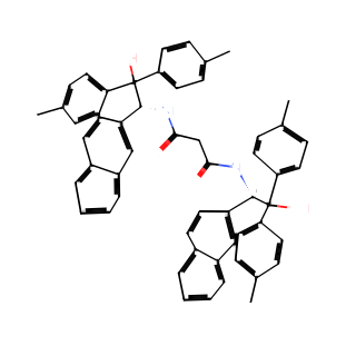 Cc1ccc(C(O)(c2ccc(C)cc2)[C@H](NC(=O)CC(=O)N[C@H](c2ccc3ccccc3c2)C(O)(c2ccc(C)cc2)c2ccc(C)cc2)c2ccc3ccccc3c2)cc1